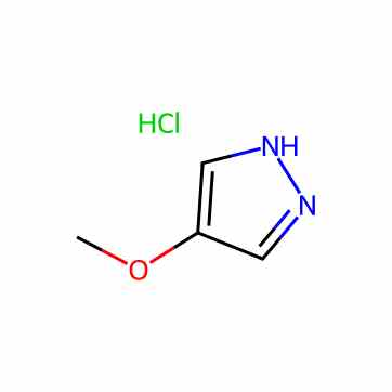 COc1cn[nH]c1.Cl